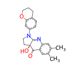 Cc1cc2c(cc1C)C(=O)[C@]1(O)CCN(c3ccc4c(c3)OCCC4)C1=N2